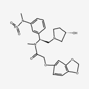 CN(C(=O)COc1ccc2c(c1)OCO2)[C@H](CN1CC[C@H](O)C1)c1cccc(N(C)[SH](=O)=O)c1